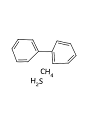 C.S.c1ccc(-c2ccccc2)cc1